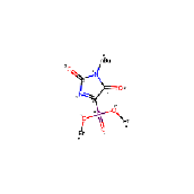 CCCCN1C(=O)N=C(P(=O)(OCC)OCC)C1=O